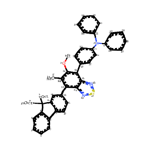 CCCCCCCCC1(CCCCCCCC)c2ccccc2-c2ccc(-c3c(OC)c(OCC)c(-c4ccc(N(c5ccccc5)c5ccccc5)cc4)c4nsnc34)cc21